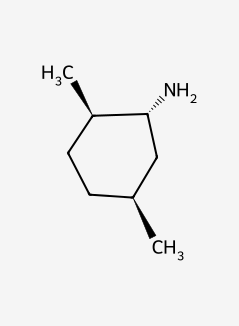 C[C@H]1CC[C@@H](C)[C@H](N)C1